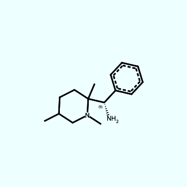 CC1CCC(C)([C@@H](N)c2ccccc2)N(C)C1